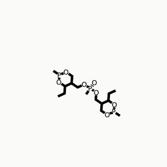 CCC1OP(C)OCC1COP(C)(=O)OCC1COP(C)OC1CC